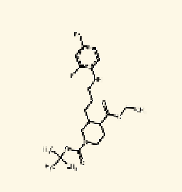 CCOC(=O)C1CCN(C(=O)OC(C)(C)C)CC1CCCNc1ccc(Br)cc1F